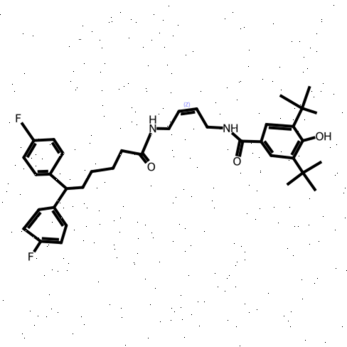 CC(C)(C)c1cc(C(=O)NC/C=C\CNC(=O)CCCCC(c2ccc(F)cc2)c2ccc(F)cc2)cc(C(C)(C)C)c1O